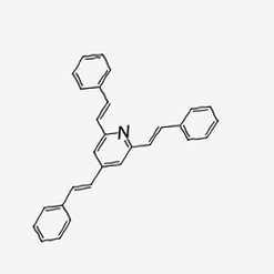 C(=C\c1cc(/C=C/c2ccccc2)nc(/C=C/c2ccccc2)c1)/c1ccccc1